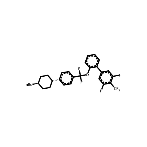 CCCC[C@H]1CC[C@H](c2ccc(C(F)(F)Oc3ccccc3-c3cc(F)c(C(F)(F)F)c(F)c3)cc2)CC1